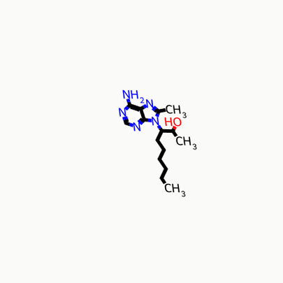 CCCCCCC(C(C)O)n1c(C)nc2c(N)ncnc21